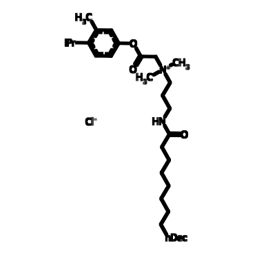 CCCCCCCCCCCCCCCCCC(=O)NCCC[N+](C)(C)CC(=O)Oc1ccc(C(C)C)c(C)c1.[Cl-]